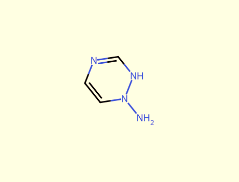 NN1C=CN=CN1